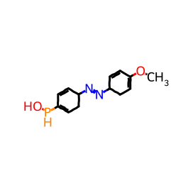 COC1=CCC(N=NC2C=CC(PO)=CC2)C=C1